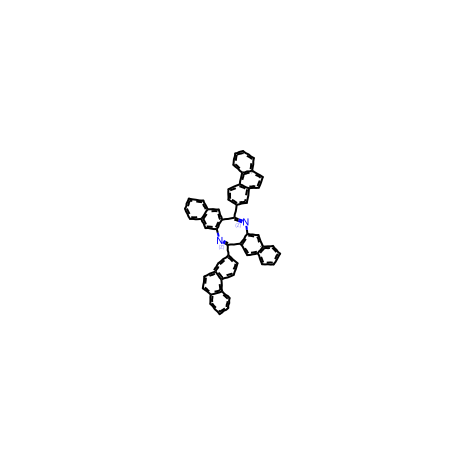 c1ccc2cc3c(cc2c1)/N=C(/c1ccc2c(ccc4ccccc42)c1)c1cc2ccccc2cc1/N=C\3c1ccc2c(ccc3ccccc32)c1